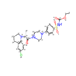 CCOC(=O)NS(=O)(=O)c1ccc(N2CCN(C(=O)[C@@H](C)N3CCCc4cc(Cl)ccc43)CC2)cc1